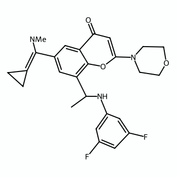 CNC(=C1CC1)c1cc(C(C)Nc2cc(F)cc(F)c2)c2oc(N3CCOCC3)cc(=O)c2c1